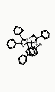 Brc1ccc(-c2ccccc2)cc1C1(C2(c3ccccc3Br)N=C(c3ccccc3)C(c3ccccc3)=N2)N=CC(c2ccccc2)=N1